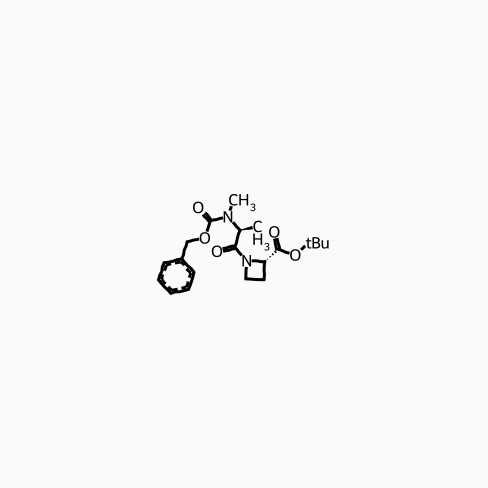 C[C@@H](C(=O)N1CC[C@H]1C(=O)OC(C)(C)C)N(C)C(=O)OCc1ccccc1